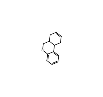 C1=CCC2c3ccccc3OCC2C1